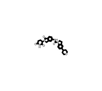 O=C1CCC(N2Cc3cc(NC(=O)N4CCc5cc(C6CCOCC6)ccc54)ccc3C2=O)C(=O)N1